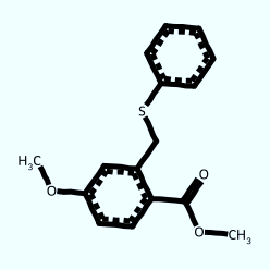 COC(=O)c1ccc(OC)cc1CSc1ccccc1